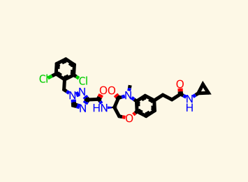 CN1C(=O)[C@H](NC(=O)c2ncn(Cc3c(Cl)cccc3Cl)n2)COc2ccc(CCC(=O)NC3CC3)cc21